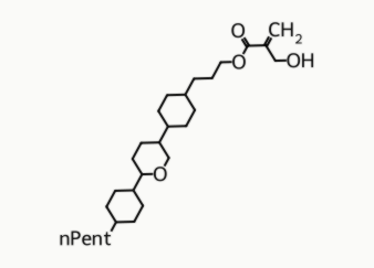 C=C(CO)C(=O)OCCCC1CCC(C2CCC(C3CCC(CCCCC)CC3)OC2)CC1